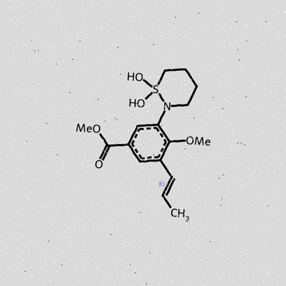 C/C=C/c1cc(C(=O)OC)cc(N2CCCCS2(O)O)c1OC